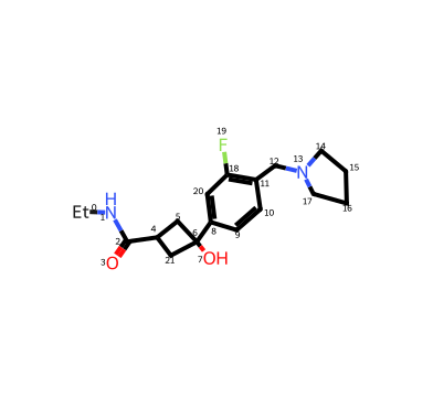 CCNC(=O)C1CC(O)(c2ccc(CN3CCCC3)c(F)c2)C1